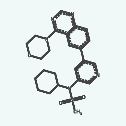 CS(=O)(=O)N(c1cncc(-c2ccc3ncnc(N4CCOCC4)c3c2)c1)C1CCCCC1